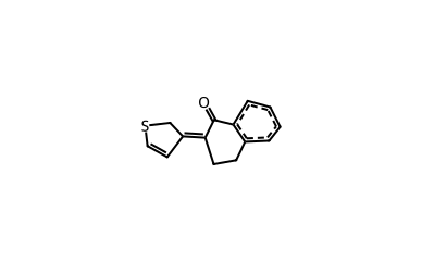 O=C1C(=C2C=CSC2)CCc2ccccc21